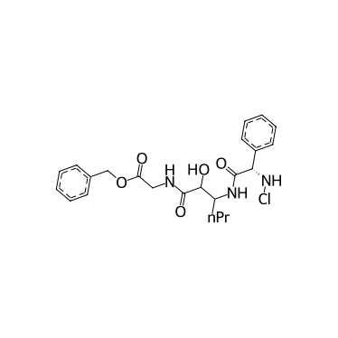 CCCC(NC(=O)[C@@H](NCl)c1ccccc1)C(O)C(=O)NCC(=O)OCc1ccccc1